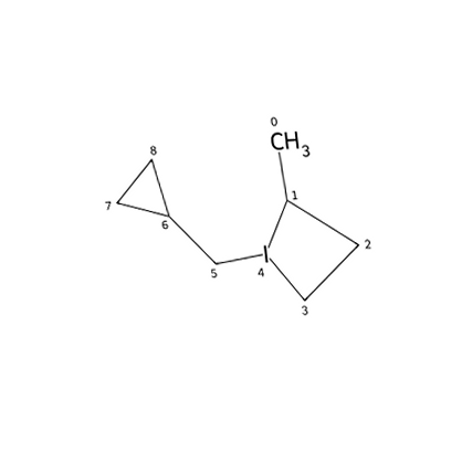 CC1CCI1CC1CC1